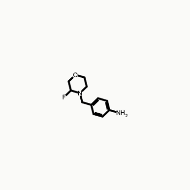 Nc1ccc(CN2CCOCC2F)cc1